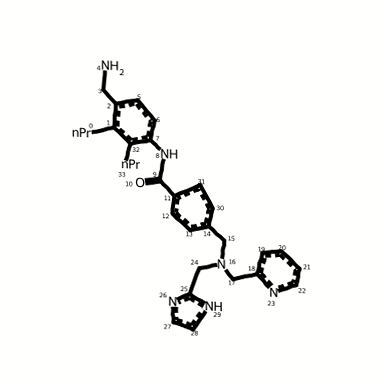 CCCc1c(CN)ccc(NC(=O)c2ccc(CN(Cc3ccccn3)Cc3ncc[nH]3)cc2)c1CCC